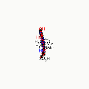 COc1cc(C(=O)Nc2ccc3c(OCCCCS(=O)(=O)O)cccc3c2)ccc1N=Nc1cc(OC)c(N=Nc2cc(C)c(N=Nc3ccc4cc(/N=N/c5ccc(O)cc5)ccc4c3O)cc2C)cc1C